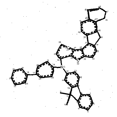 CC1(C)c2ccccc2-c2ccc(N(c3ccc(-c4ccccc4)cc3)c3cccc4c3sc3ccc5c(c34)-c3ccc4c(c3C5)CCC=C4)cc21